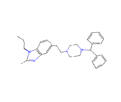 CCCn1c(C)nc2cc(CCN3CCN(C(c4ccccc4)c4ccccc4)CC3)ccc21